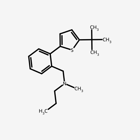 CCCN(C)Cc1ccccc1-c1ccc(C(C)(C)C)s1